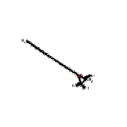 COCCOCCOCCOCCOCCOCCOCCOCCOCCOCCOCCOCCOCCOCCOCCOCCOCCOCCOCCOCCOCCOCCOCCOCCNC(=O)CCCCC[N+]1=C(C=CC=CC=C2N(CCCSOOO)c3ccc(S(=O)(=O)O)cc3C2(C)CCCCCC(=O)O)C(C)(C)c2cc(SOOO)ccc21